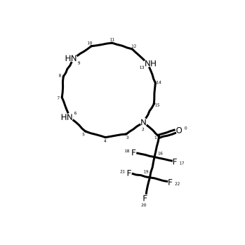 O=C(N1CCCNCCNCCCNCC1)C(F)(F)C(F)(F)F